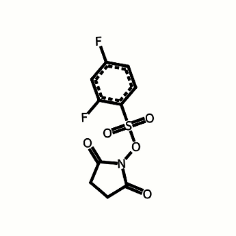 O=C1CCC(=O)N1OS(=O)(=O)c1ccc(F)cc1F